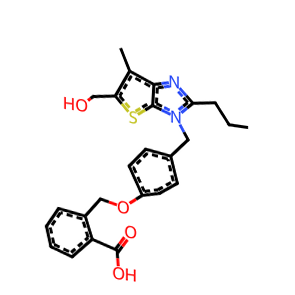 CCCc1nc2c(C)c(CO)sc2n1Cc1ccc(OCc2ccccc2C(=O)O)cc1